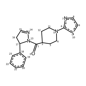 O=C(C1CCN(c2nccs2)CC1)N1N=CCC1c1ccccc1